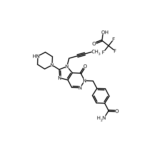 CC#CCn1c(N2CCNCC2)nc2cnn(Cc3ccc(C(N)=O)cc3)c(=O)c21.O=C(O)C(F)(F)F